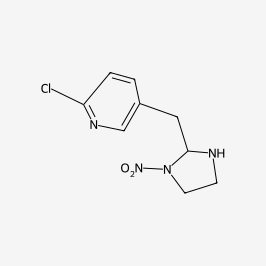 O=[N+]([O-])N1CCNC1Cc1ccc(Cl)nc1